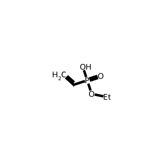 C=[C]P(=O)(O)OCC